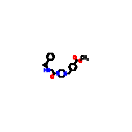 COC(=O)c1ccc(CN2CCN(C(=O)CNC3CC3c3ccccc3)CC2)cc1